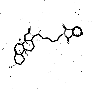 C[C@H](CCC[C@@H](C)[C@H]1C(=O)C[C@H]2[C@@H]3CC=C4C[C@@H](O)CC[C@]4(C)[C@H]3CC[C@]12C)CN1C(=O)c2ccccc2C1=O